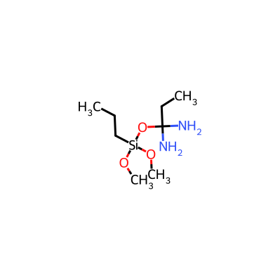 CCC[Si](OC)(OC)OC(N)(N)CC